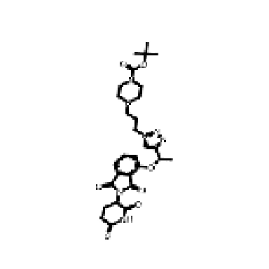 CC(Oc1cccc2c1C(=O)N(C1CCC(=O)NC1=O)C2=O)c1cn(CCCN2CCN(C(=O)OC(C)(C)C)CC2)nn1